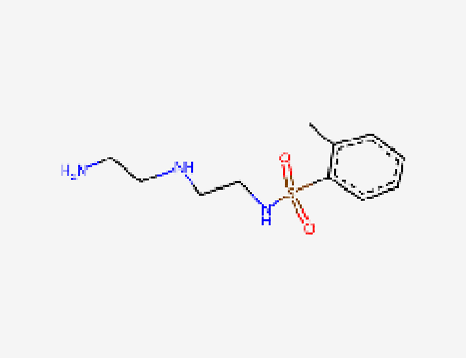 Cc1ccccc1S(=O)(=O)NCCNCCN